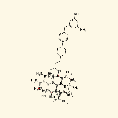 BB(B)B(B(B)B)B(B(B)B)B(B(B(B(B)B)B(B)B)B(B(B)B)B(B)B)B(B(B(B(B)B)B(B)B)B(B(B)B)B(B)B)C1CCC(CCC2CCC(c3ccc(Cc4cc(N)cc(N)c4)cc3)CC2)CC1